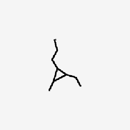 [CH2]CCC1C(C)C1CC